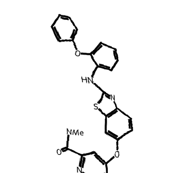 CNC(=O)c1cc(Oc2ccc3nc(Nc4ccccc4Oc4ccccc4)sc3c2)ccn1